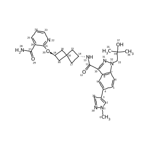 Cn1cc(-c2ccc3c(c2)c(C(=O)N[C@H]2CC4(C2)C[C@H](Oc2ncccc2C(N)=O)C4)nn3CC(C)(C)O)cn1